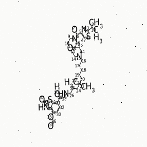 CC(C)c1nc(C(=O)N2CCOC3(CCN(CCCCCC(C)(C)CCCNCC(O)c4ccc(OC=O)c5[nH]c(=O)sc45)CC3)C2)cs1